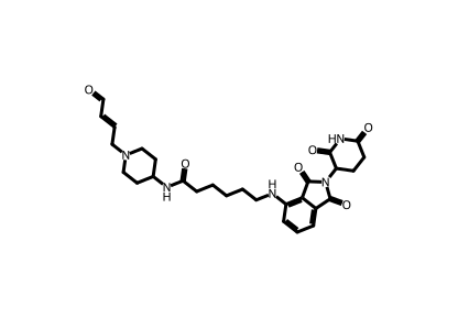 O=C/C=C/CN1CCC(NC(=O)CCCCCNc2cccc3c2C(=O)N(C2CCC(=O)NC2=O)C3=O)CC1